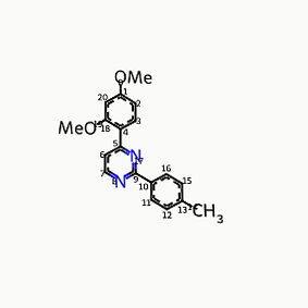 COc1ccc(-c2ccnc(-c3ccc(C)cc3)n2)c(OC)c1